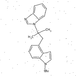 CC(C)(C)n1ccc2c(CC(C)(C)n3cnc4ccccc43)cccc21